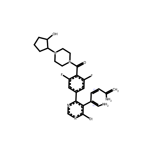 C=C(N)/C=C\C(=C/N)c1c(CC)ncnc1-c1cc(F)c(C(=O)N2CCN(C3CCCC3O)CC2)c(F)c1